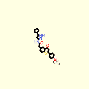 COc1ccc(-c2cc(=O)c3cc(CC(=O)Nc4cc(C5CCCC5)[nH]n4)ccc3s2)cc1